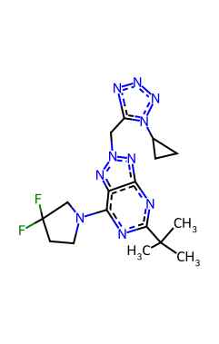 CC(C)(C)c1nc(N2CCC(F)(F)C2)c2nn(Cc3nnnn3C3CC3)nc2n1